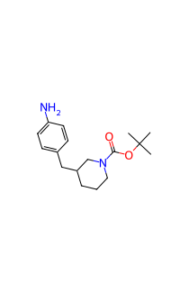 CC(C)(C)OC(=O)N1CCCC(Cc2ccc(N)cc2)C1